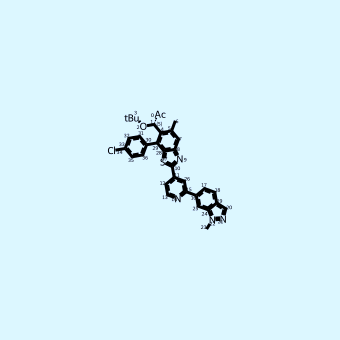 CC(=O)[C@@H](OC(C)(C)C)c1c(C)cc2nc(-c3ccnc(-c4ccc5cnn(C)c5c4)c3)sc2c1-c1ccc(Cl)cc1